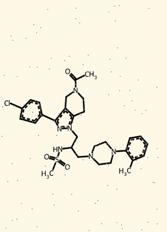 CC(=O)N1CCc2c(c(-c3ccc(Cl)cc3)nn2CC(CN2CCN(c3ccccc3C)CC2)NS(C)(=O)=O)C1